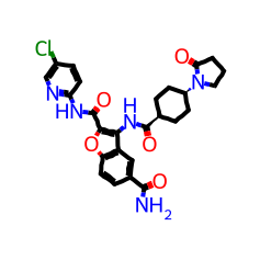 NC(=O)c1ccc2oc(C(=O)Nc3ccc(Cl)cn3)c(NC(=O)[C@H]3CC[C@H](N4CCCC4=O)CC3)c2c1